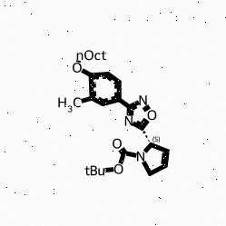 CCCCCCCCOc1ccc(-c2noc([C@@H]3C=CCN3C(=O)OC(C)(C)C)n2)cc1C